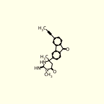 CC#Cc1ccc2c(c1)-c1cc(C3(C)CC(=O)N(C)C(=N)N3)ccc1C2=O